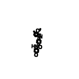 CCOc1c(C)ccc2c1cnn2C1CCN(C(=O)NC2CCC(OC)CC2)CC1